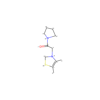 CC1=C(C)N(CC(=O)N2CCCC2)CS1